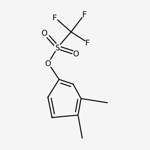 Cc1ccc(OS(=O)(=O)C(F)(F)F)cc1C